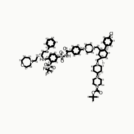 CC(C)(C)OC(=O)N1CCN(C2CCN(C[C@]3(C)CCC(c4ccc(Cl)cc4)=C(CN4CCN(c5ccc(C(=O)NS(=O)(=O)c6ccc(N[C@H](CCN7CCCOCC7)CSc7ccccc7)c(S(=O)(=O)C(F)(F)F)c6)cc5)CC4)C3)CC2)CC1